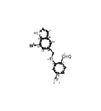 O=Cc1ccc(C(F)(F)F)cc1OCc1cc(Br)c2occc2c1